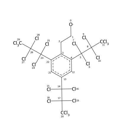 [O]CCc1c(C(Cl)(Cl)C(Cl)(Cl)C(Cl)(Cl)Cl)cc(C(Cl)(Cl)C(Cl)(Cl)C(Cl)(Cl)Cl)cc1C(Cl)(Cl)C(Cl)(Cl)C(Cl)(Cl)Cl